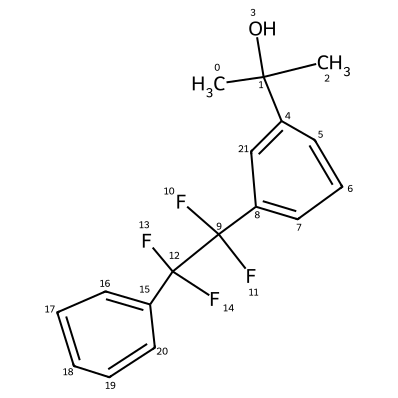 CC(C)(O)c1cccc(C(F)(F)C(F)(F)c2ccccc2)c1